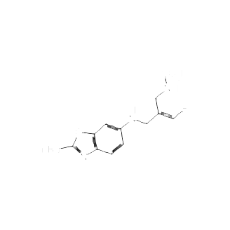 CCCCc1nc2ccc(NC/C(=C/F)CNC(=O)O)cc2o1